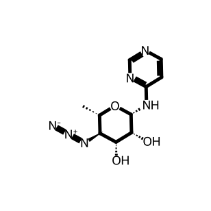 C[C@@H]1O[C@H](Nc2ccncn2)[C@H](O)[C@H](O)[C@H]1N=[N+]=[N-]